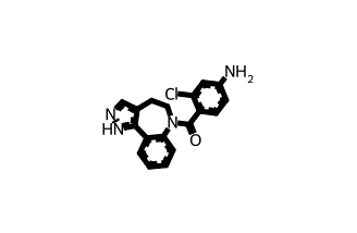 Nc1ccc(C(=O)N2CCc3cn[nH]c3-c3ccccc32)c(Cl)c1